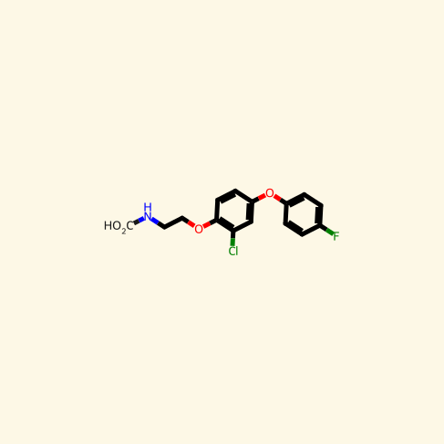 O=C(O)NCCOc1ccc(Oc2ccc(F)cc2)cc1Cl